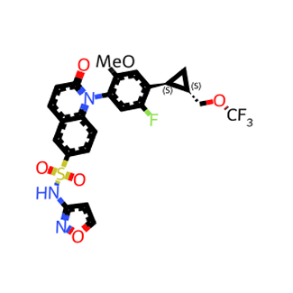 COc1cc([C@H]2C[C@@H]2COC(F)(F)F)c(F)cc1-n1c(=O)ccc2cc(S(=O)(=O)Nc3ccon3)ccc21